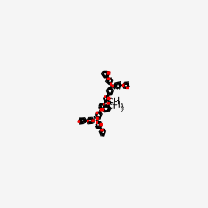 C[Si]1(C)c2cc(-c3ccc(N(c4ccc(-c5ccccc5)cc4)c4ccc(-c5ccccc5)cc4)cc3)ccc2-c2ccc(-c3ccc(N(c4ccc(-c5ccccc5)cc4)c4ccc(-c5ccccc5)cc4)cc3)c3cccc1c23